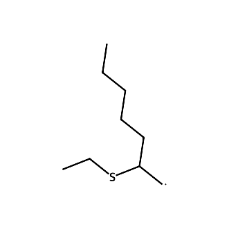 [CH2]C(CCCCC)SCC